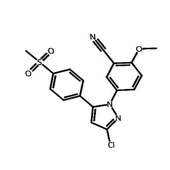 COc1ccc(-n2nc(Cl)cc2-c2ccc(S(C)(=O)=O)cc2)cc1C#N